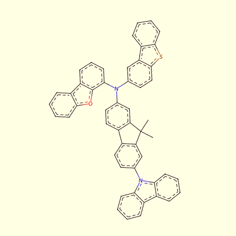 CC1(C)c2cc(N(c3ccc4sc5ccccc5c4c3)c3cccc4c3oc3ccccc34)ccc2-c2ccc(-n3c4ccccc4c4ccccc43)cc21